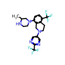 CC1CN(c2ccc(C(F)(F)F)c3c2CN(c2cnc(C(F)(F)F)nc2)CC3)CCN1